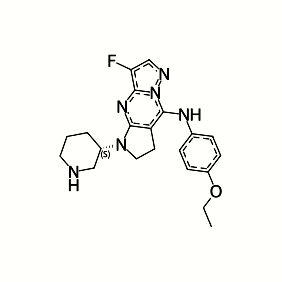 CCOc1ccc(Nc2c3c(nc4c(F)cnn24)N([C@H]2CCCNC2)CC3)cc1